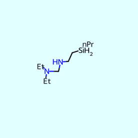 CCC[SiH2]CCNCN(CC)CC